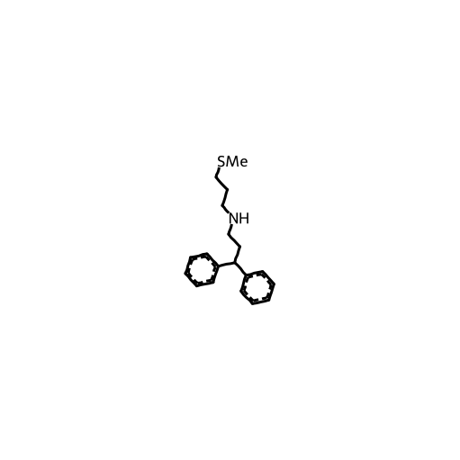 CSCCCNCCC(c1ccccc1)c1ccccc1